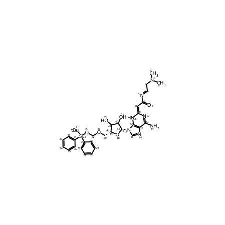 CN(C)CC=NC(=O)C=C1N=C(N)c2ncn([C@@H]3O[C@H](COCO[Si](c4ccccc4)(c4ccccc4)C(C)(C)C)C(O)C3O)c2N1